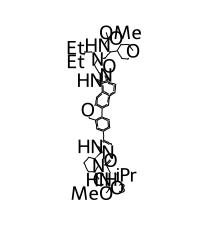 CCC(CC)CN(Cc1nc2ccc3cc4c(cc3c2[nH]1)OCc1cc(-c2cnc([C@@H]3CCC[C@H](C)N3C(=O)[C@@H](NC(=O)OC)C(C)C)[nH]2)ccc1-4)C(=O)[C@@H](NC(=O)OC)C1CCOCC1